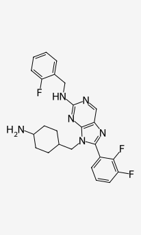 NC1CCC(Cn2c(-c3cccc(F)c3F)nc3cnc(NCc4ccccc4F)nc32)CC1